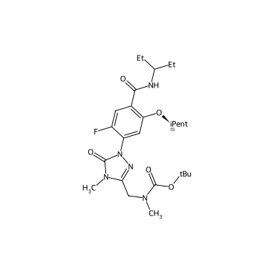 CCC[C@H](C)Oc1cc(-n2nc(CN(C)C(=O)OC(C)(C)C)n(C)c2=O)c(F)cc1C(=O)NC(CC)CC